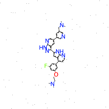 CN(C)CCOc1cc(F)cc(-c2ccnc3[nH]c(-c4n[nH]c5ncc(-c6cncc(CN(C)C)c6)cc45)cc23)c1